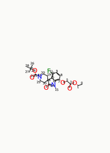 CCOC(=O)COc1ccc(F)c2c1N(C)C(=O)C21CCN(C(=O)OC(C)(C)C)CC1